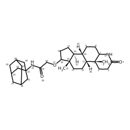 C[C@]12CCC(=O)NC1CC[C@@H]1[C@H]2CC[C@]2(C)C(OCC(=O)NC34CC5CC(CC(C5)C3)C4)CC[C@@H]12